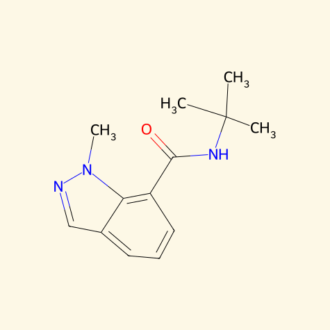 Cn1ncc2cccc(C(=O)NC(C)(C)C)c21